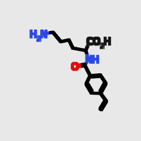 C=Cc1ccc(C(=O)NC(CCCCN)C(=O)O)cc1